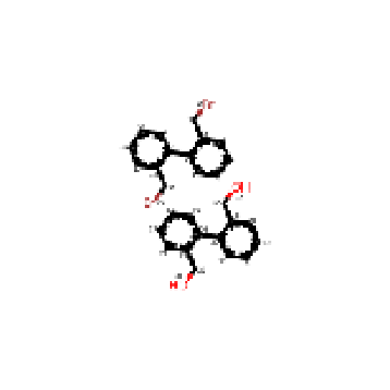 BrCc1ccccc1-c1ccccc1CBr.OCc1ccccc1-c1ccccc1CO